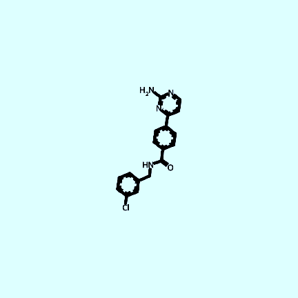 Nc1nccc(-c2ccc(C(=O)NCc3cccc(Cl)c3)cc2)n1